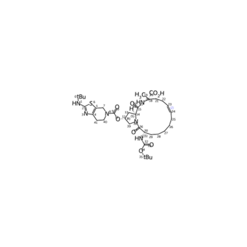 CC(C)(C)Nc1nc2c(s1)CN(C(=O)O[C@@H]1C[C@H]3C(=O)N[C@](C)(C(=O)O)CC/C=C\CCCCC[C@H](NC(=O)OC(C)(C)C)C(=O)N3C1)CC2